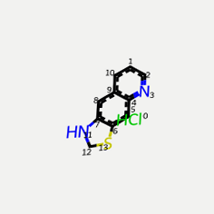 Cl.c1cnc2cc3c(cc2c1)NCS3